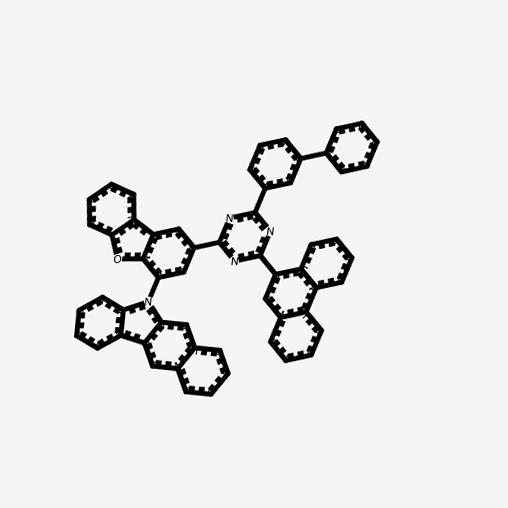 c1ccc(-c2cccc(-c3nc(-c4cc(-n5c6ccccc6c6cc7ccccc7cc65)c5oc6ccccc6c5c4)nc(-c4cc5ccccc5c5ccccc45)n3)c2)cc1